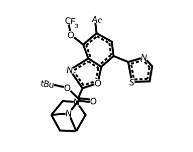 CC(=O)c1cc(-c2nccs2)c2oc(N3CC4CC(C3)N4C(=O)OC(C)(C)C)nc2c1OC(F)(F)F